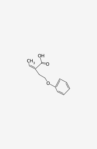 CC=C(CCOc1ccccc1)C(=O)O